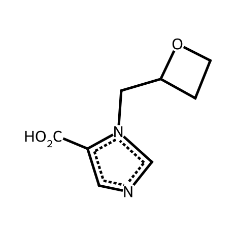 O=C(O)c1cncn1CC1CCO1